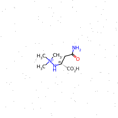 C[N+](C)(C)N[C@H](CC(N)=O)C(=O)O